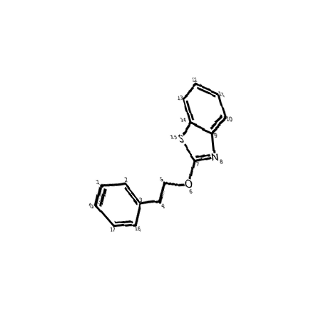 c1ccc(CCOc2nc3ccccc3s2)cc1